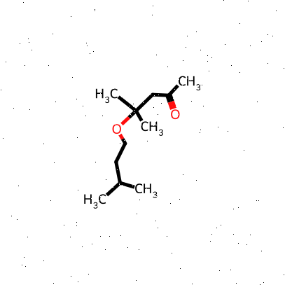 CC(=O)CC(C)(C)OCCC(C)C